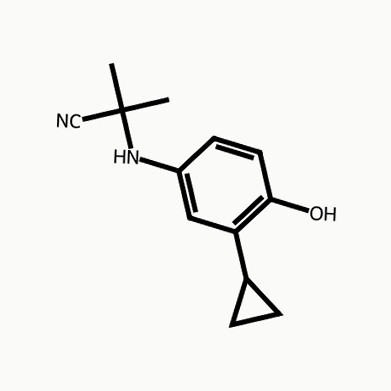 CC(C)(C#N)Nc1ccc(O)c(C2CC2)c1